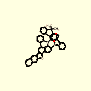 CC1(C)c2ccccc2-c2c(N(c3ccccc3-c3ccc4oc5cc6ccccc6cc5c4c3)c3ccccc3-n3c4ccccc4c4ccccc43)cccc21